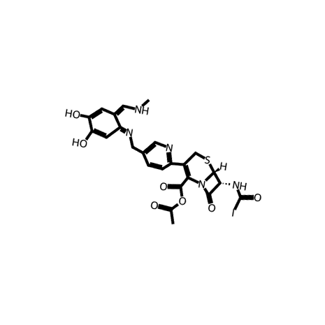 CN/C=C1/C=C(O)C(O)=C/C1=N\Cc1ccc(C2=C(C(=O)OC(C)=O)N3C(=O)[C@@H](NC(=O)I)[C@H]3SC2)nc1